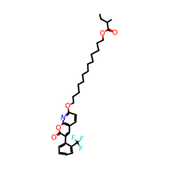 CCC(C)C(=O)OCCCCCCCCCCCCCOc1ccc2cc(-c3ccccc3C(F)(F)F)c(=O)oc2n1